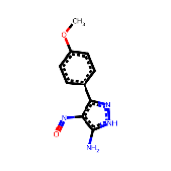 COc1ccc(-c2n[nH]c(N)c2N=O)cc1